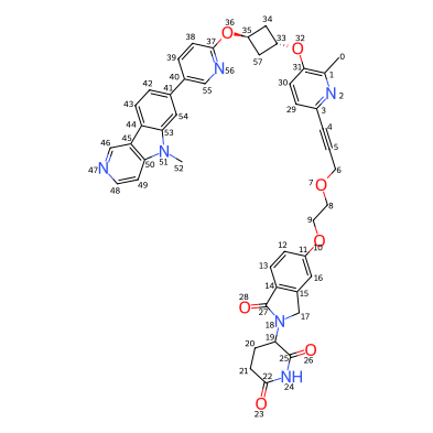 Cc1nc(C#CCOCCOc2ccc3c(c2)CN(C2CCC(=O)NC2=O)C3=O)ccc1O[C@H]1C[C@H](Oc2ccc(-c3ccc4c5cnccc5n(C)c4c3)cn2)C1